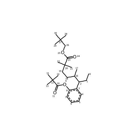 CCC(c1ccccc1OC(=O)C(C)(C)C)C(C)CCC(C)(C)C(=O)OCC(C)(C)C